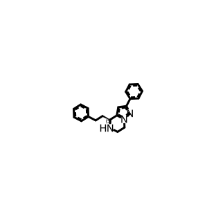 c1ccc(CC[C@@H]2NCCn3nc(-c4ccccc4)cc32)cc1